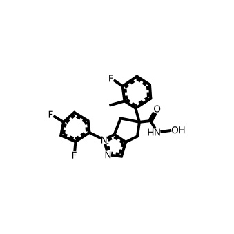 Cc1c(F)cccc1C1(C(=O)NO)Cc2cnn(-c3ccc(F)cc3F)c2C1